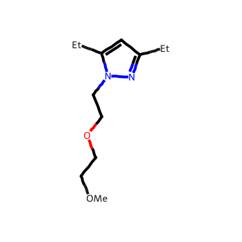 CCc1cc(CC)n(CCOCCOC)n1